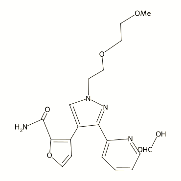 COCCOCCn1cc(-c2ccoc2C(N)=O)c(-c2ccccn2)n1.O=CO